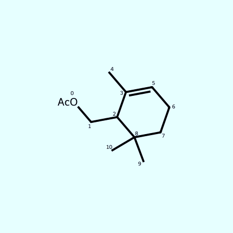 CC(=O)OCC1C(C)=CCCC1(C)C